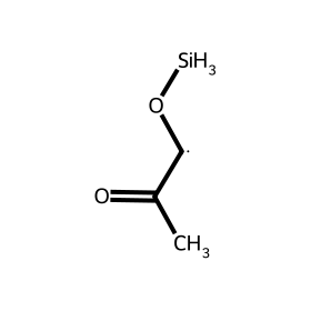 CC(=O)[CH]O[SiH3]